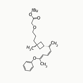 C=C(/C=C\C=C(/C)Oc1ccccc1)[C@H]1C[C@@](C)(CCCOCC(=O)OC(C)(C)C)C1